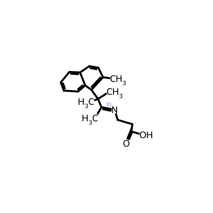 C/C(=N\CCC(=O)O)C(C)(C)c1c(C)ccc2ccccc12